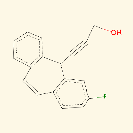 OCC#CC1c2ccccc2C=Cc2ccc(F)cc21